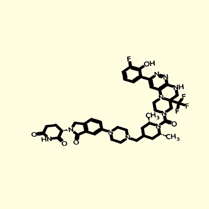 C[C@@H]1CC(CN2CCN(c3ccc4c(c3)C(=O)N([C@H]3CCC(=O)NC3=O)C4)CC2)C[C@H](C)N1C(=O)N1CCN2c3cc(-c4cccc(F)c4O)nnc3NCC2(C(F)(F)F)C1